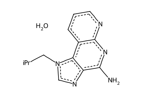 CC(C)Cn1cnc2c(N)nc3ncccc3c21.O